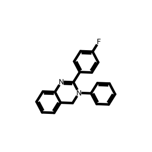 Fc1ccc(C2=Nc3ccccc3CN2c2ccccc2)cc1